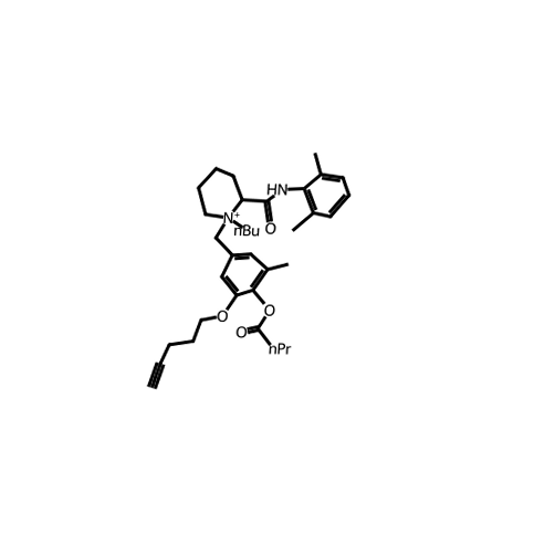 C#CCCCOc1cc(C[N+]2(CCCC)CCCCC2C(=O)Nc2c(C)cccc2C)cc(C)c1OC(=O)CCC